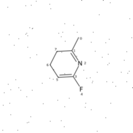 CC1=NC(F)=CCC1